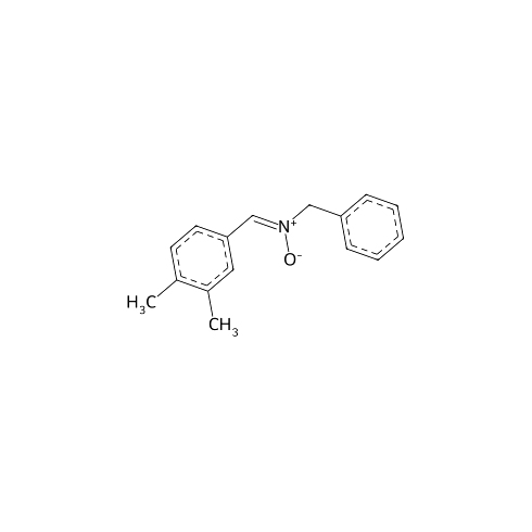 Cc1ccc(C=[N+]([O-])Cc2ccccc2)cc1C